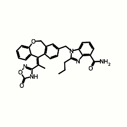 CCCc1nc2c(C(N)=O)cccc2n1Cc1ccc2c(c1)COc1ccccc1C2=C(C)c1noc(=O)[nH]1